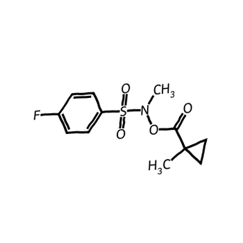 CN(OC(=O)C1(C)CC1)S(=O)(=O)c1ccc(F)cc1